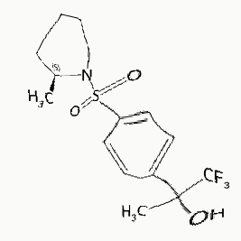 C[C@H]1CCCCN1S(=O)(=O)c1ccc(C(C)(O)C(F)(F)F)cc1